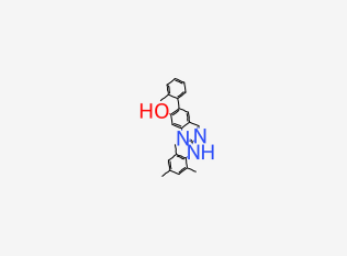 Cc1cc(C)c(Nc2ncc3cc(-c4ccccc4C)c(O)cc3n2)c(C)c1